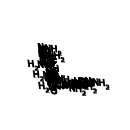 CC1CC1C(N)=O.COC(=O)c1ccc(N)cn1.Cc1cc(C(N)=O)n[nH]1.Cn1c(N)nc2ccccc21.NC(=O)c1c[nH]c2cc(F)ccc12.NC(=O)c1cccnc1.NS(=O)(=O)c1cccnc1.Nc1ccc(C(=O)O)nc1.Nc1cncnc1